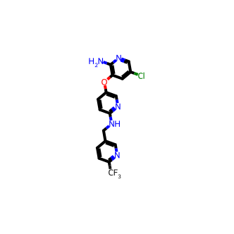 Nc1ncc(Cl)cc1Oc1ccc(NCc2ccc(C(F)(F)F)nc2)nc1